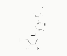 CCOC(=O)c1nc(-c2cc(Br)c(O)c(Br)c2)n[nH]1